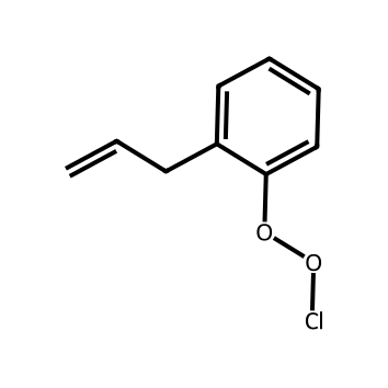 C=CCc1ccccc1OOCl